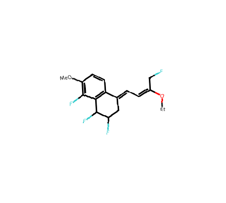 CCO/C(=C/C=C1\CC(F)C(F)c2c1ccc(OC)c2F)CF